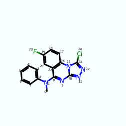 CN(c1ccccc1)c1nc2nnc(Cl)n2c2ccc(F)cc12